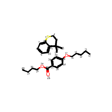 CC1(C)CCSc2ccccc21.CCCCCOc1ccc(C(=O)OCCCC)cc1